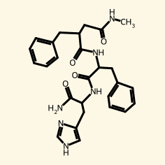 CNC(=O)CC(Cc1ccccc1)C(=O)NC(Cc1ccccc1)C(=O)NC(Cc1c[nH]cn1)C(N)=O